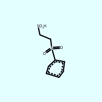 O=S(=O)(O)CCS(=O)(=O)c1c[c]ccc1